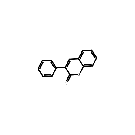 O=c1sc2ccccc2cc1-c1ccccc1